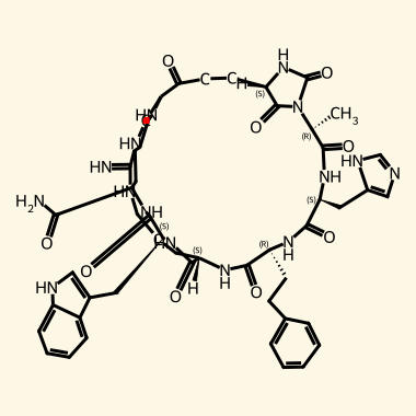 C[C@@H]1C(=O)N[C@@H](Cc2cnc[nH]2)C(=O)N[C@H](CCc2ccccc2)C(=O)N[C@H]2CCCNC(=N)NCC(NCCCCC(C(N)=O)NC(=O)[C@H](Cc3c[nH]c4ccccc34)NC2=O)C(=O)CC[C@@H]2NC(=O)N1C2=O